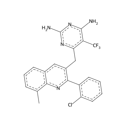 Cc1cccc2cc(Cc3nc(N)nc(N)c3C(F)(F)F)c(-c3ccccc3Cl)nc12